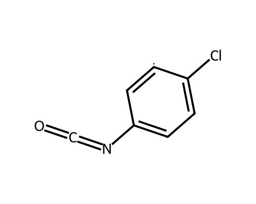 O=C=Nc1c[c]c(Cl)cc1